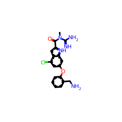 CN(C(=N)N)C(=O)c1cc2c(Cl)cc(Oc3ccccc3CN)cc2[nH]1